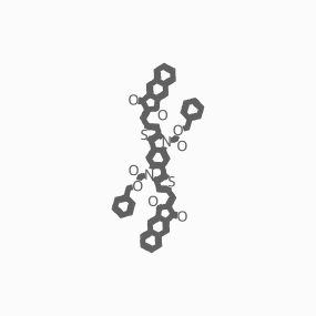 O=C1C(=Cc2cc3c(s2)c2cc4c(cc2n3C(=O)OCc2ccccc2)c2sc(C=C3C(=O)c5cc6ccccc6cc5C3=O)cc2n4C(=O)OCc2ccccc2)C(=O)c2cc3ccccc3cc21